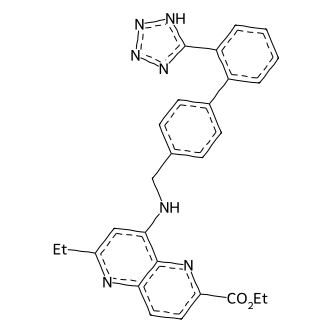 CCOC(=O)c1ccc2nc(CC)cc(NCc3ccc(-c4ccccc4-c4nnn[nH]4)cc3)c2n1